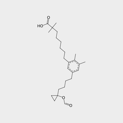 Cc1cc(CCCCC2(OC=O)CC2)cc(CCCCCCC(C)(C)C(=O)O)c1C